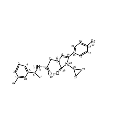 Cc1cccc(C(C)NC(=O)Cn2cc(-c3ccc(Br)cc3)n(C3CC3)c2=O)c1